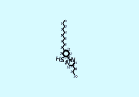 CCCCCCCCCCc1ccc(-c2ncc(CCC)cn2)c(S)c1